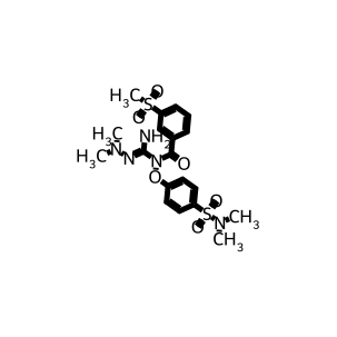 CN(C)N=C(N)N(Oc1ccc(S(=O)(=O)N(C)C)cc1)C(=O)c1cccc(S(C)(=O)=O)c1